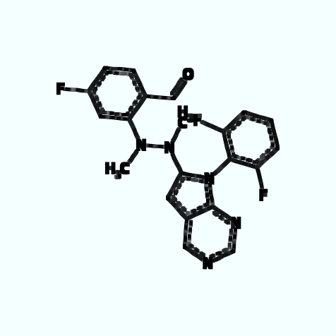 CN(c1cc(F)ccc1C=O)N(C)c1cc2cncnc2n1-c1c(F)cccc1F